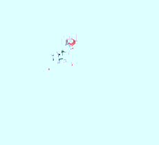 CCCCCCCCCCCCCCCCCC(=O)O[C@H]1C[C@@]2(C)[C@@H](C[C@H]3O[C@@H](CCC)O[C@]32C(=O)CO)[C@@H]2C[C@H](F)C3=CC(=O)CC[C@]3(C)[C@@]12F